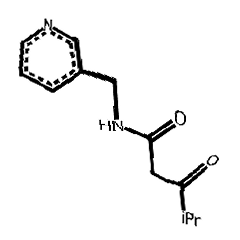 CC(C)C(=O)CC(=O)NCc1cccnc1